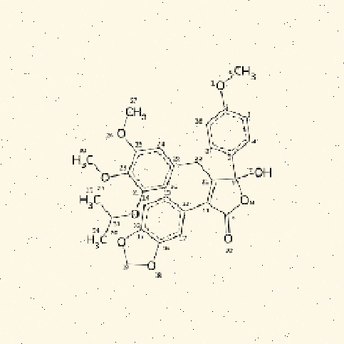 COc1ccc(C2(O)OC(=O)C(c3ccc4c(c3)OCO4)=C2Cc2cc(OC)c(OC)c(OC(C)C)c2)cc1